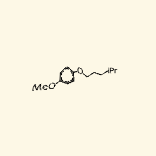 COc1ccc(OCCCC(C)C)cc1